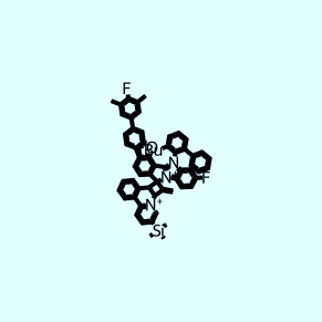 C=C1C2C(c3ccccc3-c3ccc([Si](C)(C)C)c[n+]32)C12c1ccc3c(oc4cc(-c5cc(C)c(F)c(C)c5)ccc43)c1-c1n(-c3c(-c4ccccc4)cccc3C(C)(C)C)c3cc(F)ccc3[n+]12